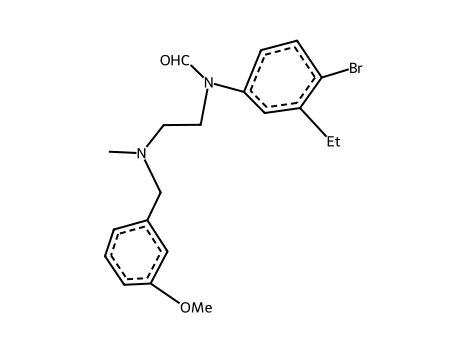 CCc1cc(N(C=O)CCN(C)Cc2cccc(OC)c2)ccc1Br